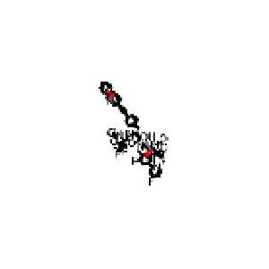 COC(=O)N[C@H](C(=O)N[C@@H](Cc1ccc(C#Cc2ccc(N3CC4CC(C3)N4C3COC3)nc2)cc1)[C@@H](O)CN(Cc1c(F)cc(-c2cc(F)ccn2)cc1F)NC(=O)[C@@H](NC(=O)OC)C(C)(C)C(F)(F)F)C(C)(C)C(F)(F)F